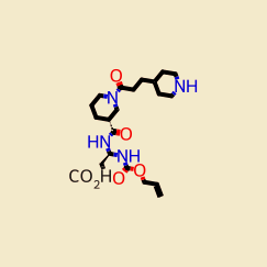 C=CCOC(=O)N[C@@H](CC(=O)O)NC(=O)[C@@H]1CCCN(C(=O)CCC2CCNCC2)C1